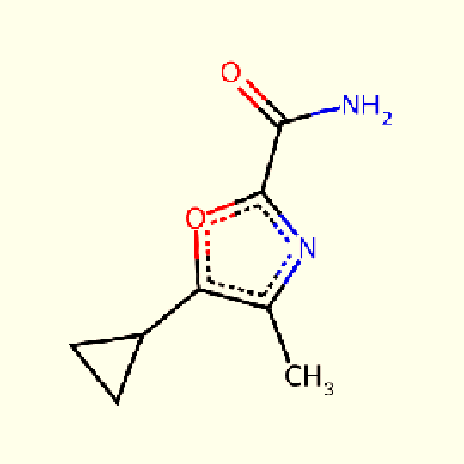 Cc1nc(C(N)=O)oc1C1CC1